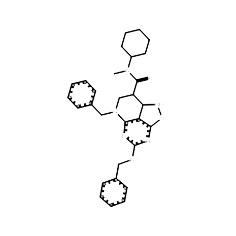 CN(C(=O)C1CN(Cc2ccccc2)c2nc(NCc3ccccc3)nc3c2C1NN3)C1CCCCC1